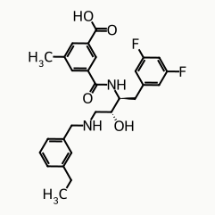 CCc1cccc(CNC[C@@H](O)[C@H](Cc2cc(F)cc(F)c2)NC(=O)c2cc(C)cc(C(=O)O)c2)c1